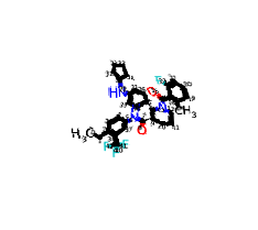 CCc1ccc(NC(=O)[C@H]2CCCN(C(=O)c3c(C)cccc3F)[C@H]2c2ccc(NC3CCCC3)cc2)cc1C(F)(F)F